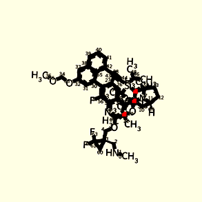 CNC[C@@]1(COc2nc(N3C[C@H]4CC[C@@](C)(C3)N4C(=O)OC(C)(C)C)c3cc(F)c(-c4cc(OCOC)cc5cccc(C#C[Si](C(C)C)(C(C)C)C(C)C)c45)c(F)c3n2)CC1(F)F